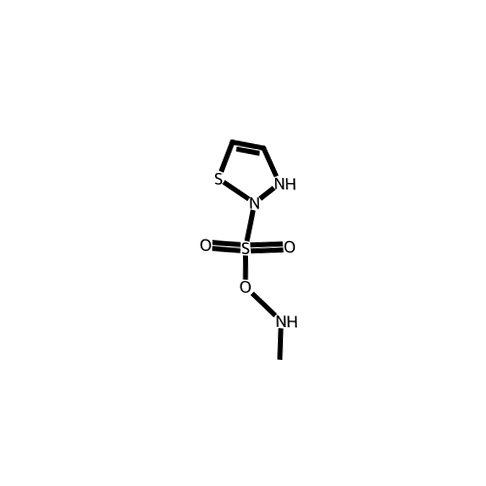 CNOS(=O)(=O)N1NC=CS1